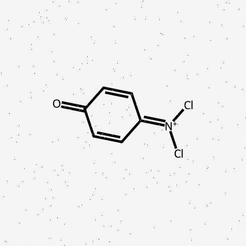 O=C1C=CC(=[N+](Cl)Cl)C=C1